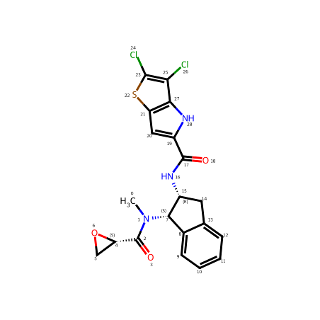 CN(C(=O)[C@@H]1CO1)[C@H]1c2ccccc2C[C@H]1NC(=O)c1cc2sc(Cl)c(Cl)c2[nH]1